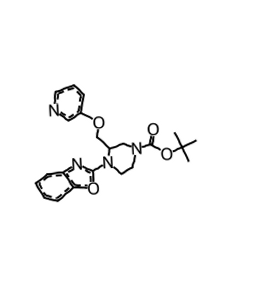 CC(C)(C)OC(=O)N1CCN(c2nc3ccccc3o2)C(COc2cccnc2)C1